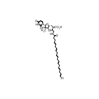 CCC=CCC=CCC=CCC=CCC=CCC=CCCC(=O)NCCN(C[C@H]1O[C@@H](n2ccc(=O)[nH]c2=O)[C@](C)(F)[C@@H]1O)C(=O)O